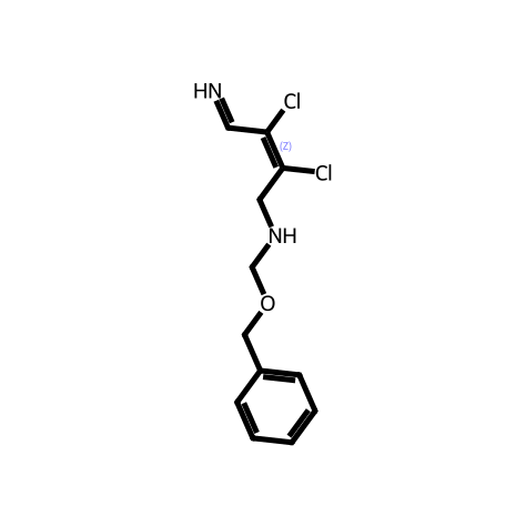 N=C/C(Cl)=C(/Cl)CNCOCc1ccccc1